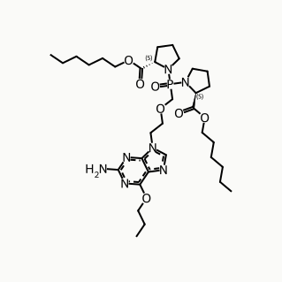 CCCCCCOC(=O)[C@@H]1CCCN1P(=O)(COCCn1cnc2c(OCCC)nc(N)nc21)N1CCC[C@H]1C(=O)OCCCCCC